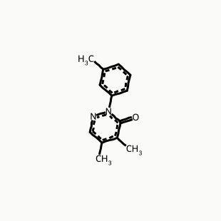 Cc1cccc(-n2ncc(C)c(C)c2=O)c1